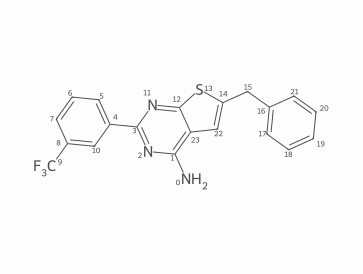 Nc1nc(-c2cccc(C(F)(F)F)c2)nc2sc(Cc3ccccc3)cc12